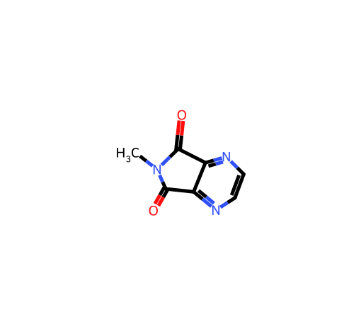 CN1C(=O)c2nccnc2C1=O